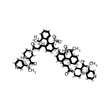 CC(C)c1ccccc1-c1c(/C=C/C(=O)N2CCNC(C(=O)N(C)c3cccnc3)C2)ccc(Sc2ccc(/C=C/C(=O)N3CCNC(C(=O)N(C)c4cccnc4)C3)c(-c3ccccc3C(C)C)c2[N+](=O)[O-])c1[N+](=O)[O-]